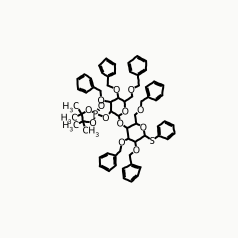 CC1(C)OP(=O)(OC2C(OC3C(COCc4ccccc4)OC(Sc4ccccc4)C(OCc4ccccc4)C3OCc3ccccc3)OC(COCc3ccccc3)C(OCc3ccccc3)C2OCc2ccccc2)OC1(C)C